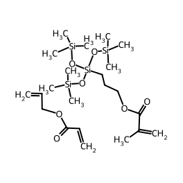 C=C(C)C(=O)OCCC[Si](O[Si](C)(C)C)(O[Si](C)(C)C)O[Si](C)(C)C.C=CCOC(=O)C=C